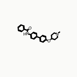 CN1CCC(Oc2ccc(-c3ccc(NC(=O)c4ccccc4)cc3)cc2)CC1